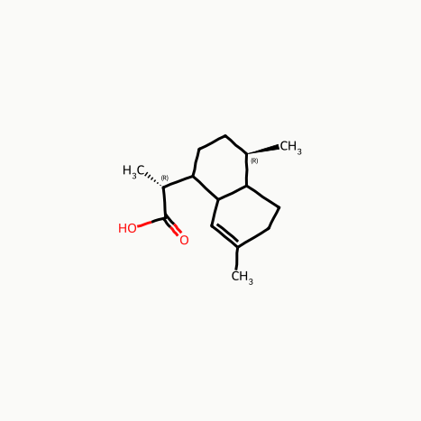 CC1=CC2C(CC1)[C@H](C)CCC2[C@@H](C)C(=O)O